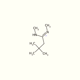 C/N=C(/CC(C)(C)C)NC